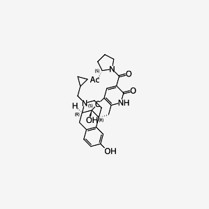 CC(=O)[C@@H]1CCCN1C(=O)c1cc2c([nH]c1=O)C[C@]13CCN(CC4CC4)[C@H](Cc4ccc(O)cc41)[C@]3(O)C2